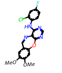 COc1cc2c(cc1OC)Oc1ncnc(Nc3ccc(F)cc3Cl)c1N=C2